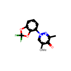 COc1cn(-c2cccc3c2OC(F)(F)O3)nc(C)c1=O